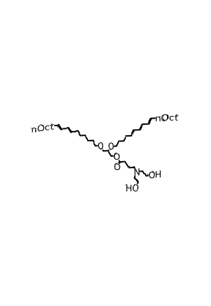 CCCCCCCCC=CCCCCCCCCOCC(COC(=O)CCCN(CCO)CCO)OCCCCCCCCC=CCCCCCCCC